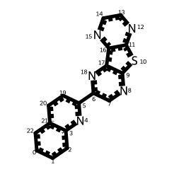 c1ccc2nc(-c3cnc4sc5nccnc5c4n3)ccc2c1